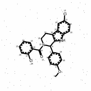 COc1ccc(C2c3[nH]c4ccc(Cl)cc4c3CCN2C(=O)c2ccccc2Cl)cc1